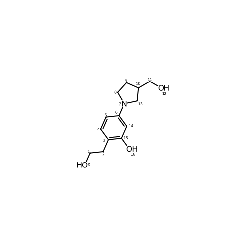 OCCc1ccc(N2CCC(CO)C2)cc1O